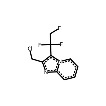 FCC(F)(F)c1c(CCl)nc2ccccn12